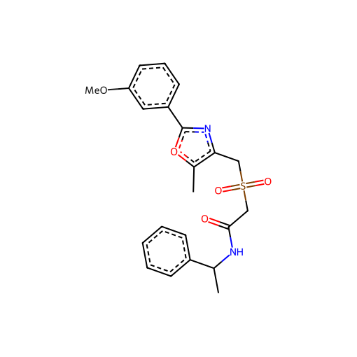 COc1cccc(-c2nc(CS(=O)(=O)CC(=O)NC(C)c3ccccc3)c(C)o2)c1